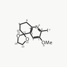 COc1cc2c(nc1I)CCCC21OCCO1